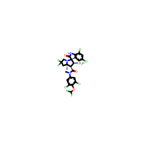 CN(C(=O)[C@H]1[C@H]2CC(F)(F)CN2[C@]2(C(=O)Nc3c(Cl)cc(Cl)cc32)[C@H]1C(=O)O)c1cc(Cl)c(OC(F)F)c(Cl)c1